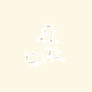 CCOC(=O)CN(Cc1ccccc1)c1nc(I)ncc1CN1C(=O)c2ccccc2C1=O